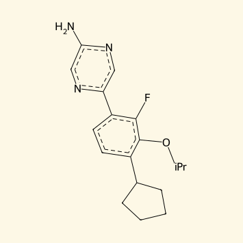 CC(C)Oc1c(C2CCCC2)ccc(-c2cnc(N)cn2)c1F